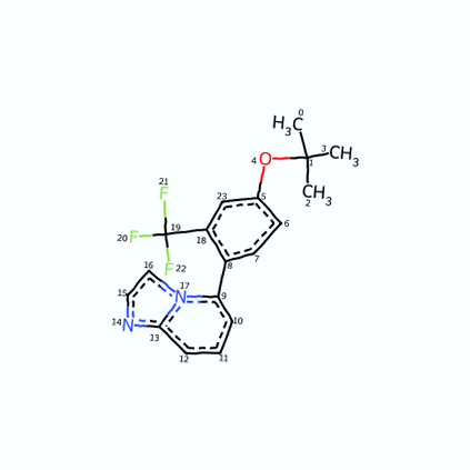 CC(C)(C)Oc1ccc(-c2cccc3nccn23)c(C(F)(F)F)c1